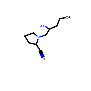 CCCC(N)CN1CCCC1C#N